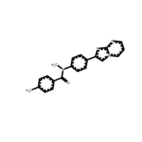 Cc1ccc(C(=O)N(C)c2ccc(-c3cn4cccnc4n3)cc2)cc1